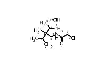 CC(C)C(N)(CNC(=O)CCl)C(C)C.Cl